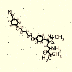 Cc1nc(-c2ccc(OCCCCCOc3ccc(C#N)cc3)cc2)c(CC(N)C(=O)C(C)C)s1